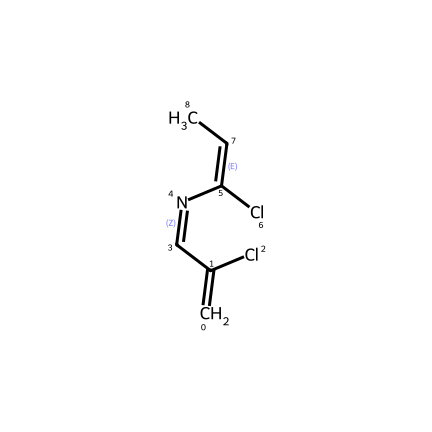 C=C(Cl)/C=N\C(Cl)=C/C